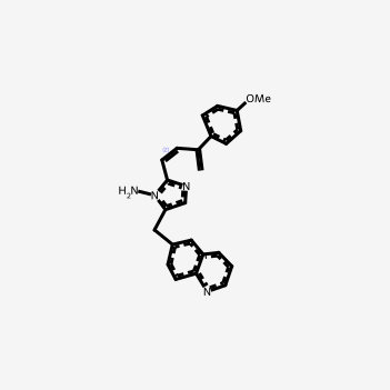 C=C(/C=C\c1ncc(Cc2ccc3ncccc3c2)n1N)c1ccc(OC)cc1